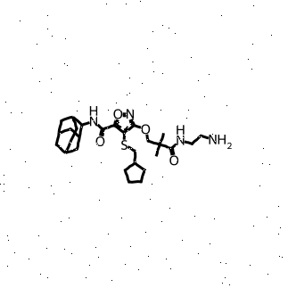 CC(C)(COc1noc(C(=O)NC2C3CC4CC(C3)CC2C4)c1SCC1CCCC1)C(=O)NCCN